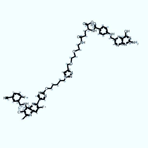 Cc1nc2cc(F)c(-c3cnc(OCCCCCn4cc(COCCOCCNC(=O)CC[C@H](NC(=O)c5ccc(NCc6cnc7nc(N)nc(O)c7n6)cc5)C(=O)O)nn4)nc3)nc2c(N[C@H](C)c2cc(C#N)ccc2F)c1Cl